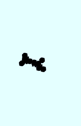 c1ccc(-c2cc(-c3ccc(-c4ccc(-c5nc(-c6ccccc6)nc(-c6ccccc6)n5)cc4)cn3)nc(-c3cccc(-c4ccccc4)n3)c2)cc1